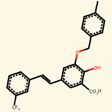 Cc1ccc(COc2cc(C=Cc3cccc(C(F)(F)F)c3)cc(C(=O)O)c2O)cc1